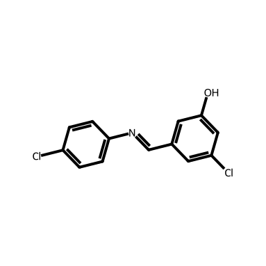 Oc1cc(Cl)cc(C=Nc2ccc(Cl)cc2)c1